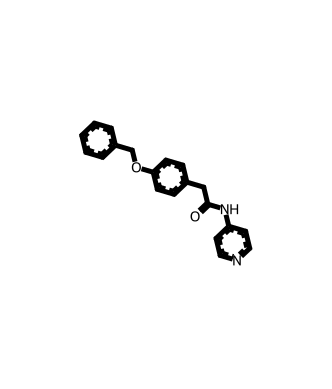 O=C(Cc1ccc(OCc2ccccc2)cc1)Nc1ccncc1